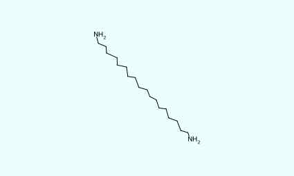 NCCCCCCCCCCCCCCCCCCN